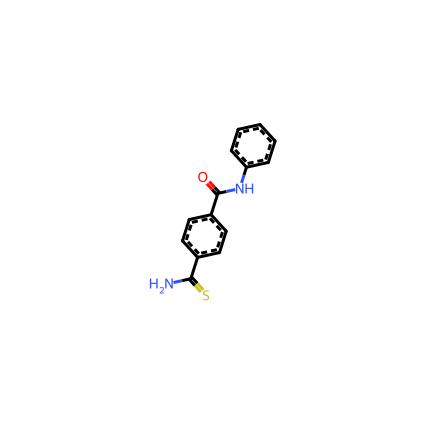 NC(=S)c1ccc(C(=O)Nc2ccccc2)cc1